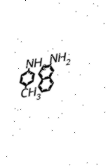 Cc1ccc(N)cc1.Nc1ccc2ccccc2c1